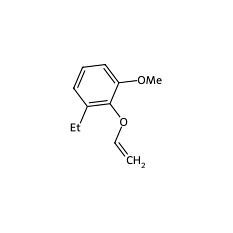 C=COc1c(CC)cccc1OC